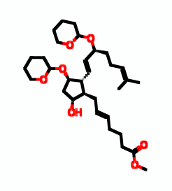 COC(=O)CCCC=CC[C@@H]1[C@@H](C=C[C@H](CCC=C(C)C)OC2CCCCO2)[C@H](OC2CCCCO2)C[C@@H]1O